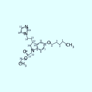 CCCCCOc1ccc2c(c1)C(CCn1ccnc1)CN2CC(=O)OCC